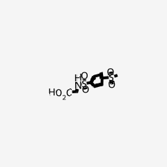 CS(=O)(=O)c1ccc(S(=O)(=O)NCC(=O)O)cc1